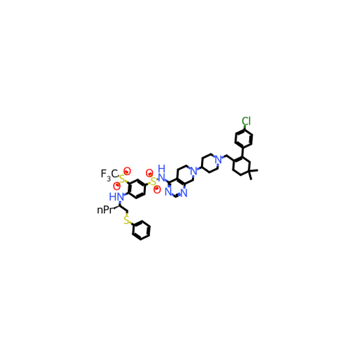 CCC[C@H](CSc1ccccc1)Nc1ccc(S(=O)(=O)Nc2ncnc3c2CCN(C2CCN(CC4=C(c5ccc(Cl)cc5)CC(C)(C)CC4)CC2)C3)cc1S(=O)(=O)C(F)(F)F